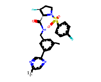 Cc1cc(CNC(=O)[C@@H]2[C@@H](F)CCN2S(=O)(=O)c2ccc(F)cc2)cc(-c2cnc(C(F)(F)F)cn2)c1